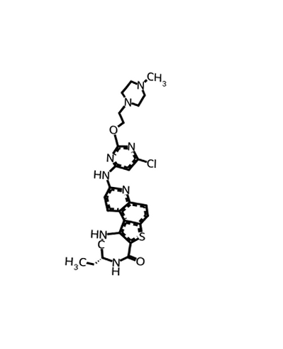 CC[C@@H]1CNc2c(sc3ccc4nc(Nc5cc(Cl)nc(OCCN6CCN(C)CC6)n5)ccc4c23)C(=O)N1